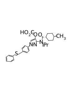 CC(C)N(c1nn(-c2ccc(CSc3ccccc3)cc2)cc1OC(=O)O)C(=O)[C@H]1CC[C@H](C)CC1